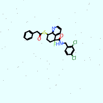 O=C(Cc1ccccc1)SC1CC[C@@](F)(C(=O)NCc2ccc(Cl)cc2Cl)c2cccnc21